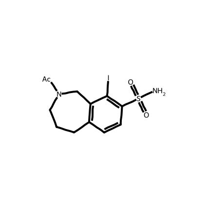 CC(=O)N1CCCc2ccc(S(N)(=O)=O)c(I)c2C1